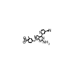 Cc1cc(Cn2ncc3c(-c4cc(C#N)ccn4)nc(N)nc32)ccc1[N+](=O)[O-]